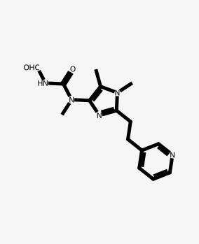 Cc1c(N(C)C(=O)NC=O)nc(CCc2cccnc2)n1C